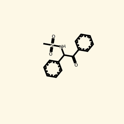 CS(=O)(=O)NC(C(=O)c1ccccc1)c1ccccc1